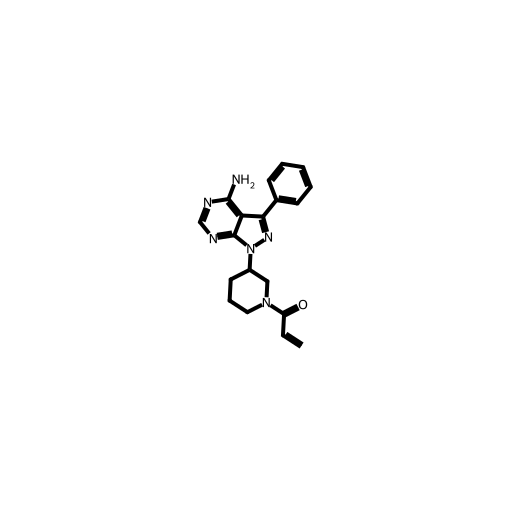 C=CC(=O)N1CCCC(n2nc(-c3ccccc3)c3c(N)ncnc32)C1